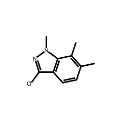 Cc1ccc2c(Cl)nn(C)c2c1C